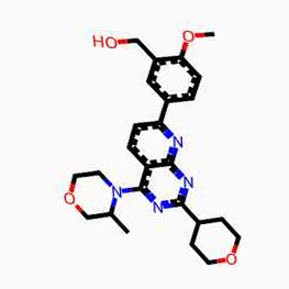 COc1ccc(-c2ccc3c(N4CCOCC4C)nc(C4CCOCC4)nc3n2)cc1CO